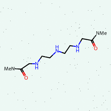 CNC(=O)CNCCNCCNCC(=O)NC